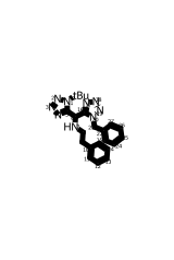 CC(C)(C)n1nnnc1C(NCCc1ccccc1)c1nnnn1Cc1ccccc1